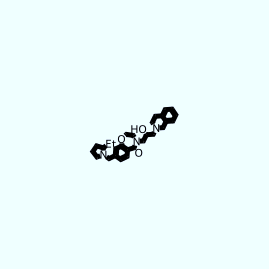 CCC1CCCN1Cc1ccc2c(c1)OCCN(CC(O)CN1CCc3ccccc3C1)C2=O